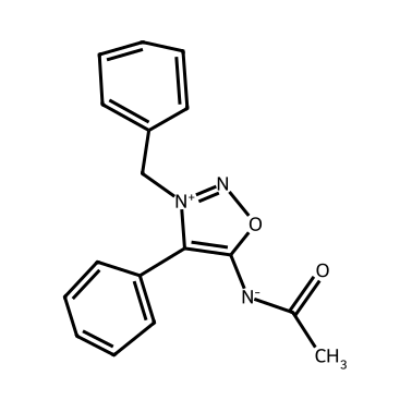 CC(=O)[N-]c1on[n+](Cc2ccccc2)c1-c1ccccc1